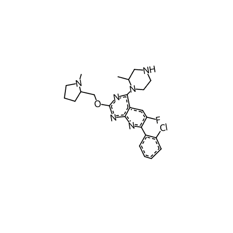 CC1CNCCN1c1nc(OCC2CCCN2C)nc2nc(-c3ccccc3Cl)c(F)cc12